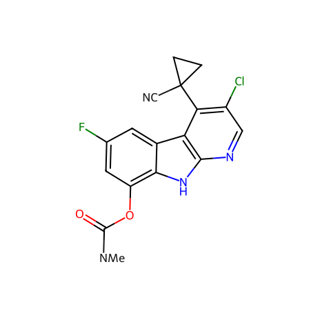 CNC(=O)Oc1cc(F)cc2c1[nH]c1ncc(Cl)c(C3(C#N)CC3)c12